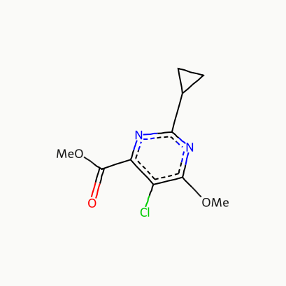 COC(=O)c1nc(C2CC2)nc(OC)c1Cl